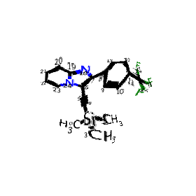 C[Si](C)(C)C#Cc1c(-c2ccc(C(F)(F)F)cc2)nc2ccccn12